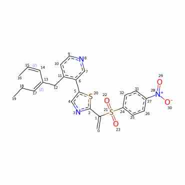 C=C(c1ncc(-c2cnccc2CC(/C=C\C)=C/CC)s1)S(=O)(=O)c1ccc([N+](=O)[O-])cc1